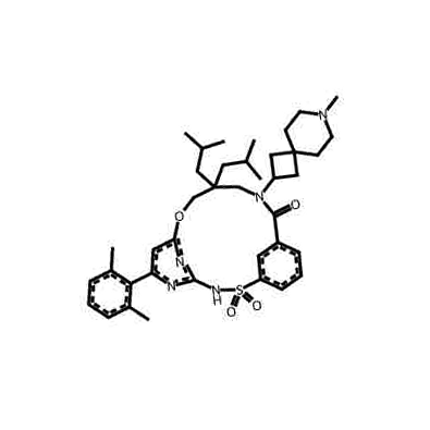 Cc1cccc(C)c1-c1cc2nc(n1)NS(=O)(=O)c1cccc(c1)C(=O)N(C1CC3(CCN(C)CC3)C1)CC(CC(C)C)(CC(C)C)CO2